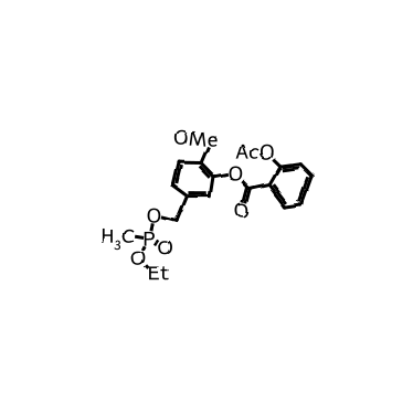 CCOP(C)(=O)OCc1ccc(OC)c(OC(=O)c2ccccc2OC(C)=O)c1